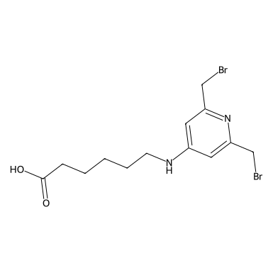 O=C(O)CCCCCNc1cc(CBr)nc(CBr)c1